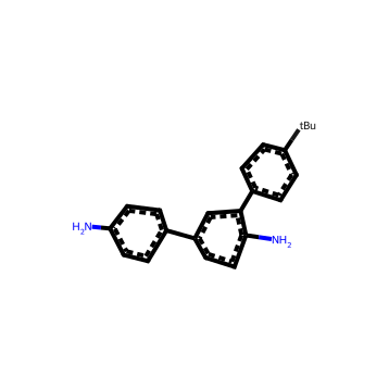 CC(C)(C)c1ccc(-c2cc(-c3ccc(N)cc3)ccc2N)cc1